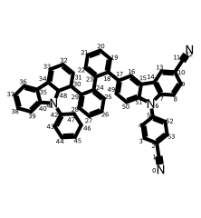 N#Cc1ccc(-n2c3ccc(C#N)cc3c3cc(-c4ccccc4-c4ccccc4C4C=CC=C5c6ccccc6N(C6=CC=CCC6)C54)ccc32)cc1